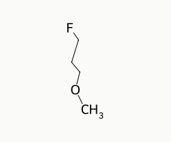 COCCCF